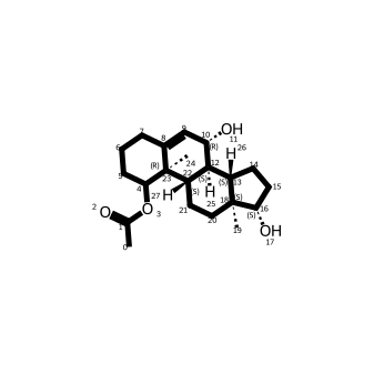 CC(=O)OC1CCCC2=C[C@H](O)[C@H]3[C@@H]4CC[C@H](O)[C@@]4(C)CC[C@@H]3[C@]21C